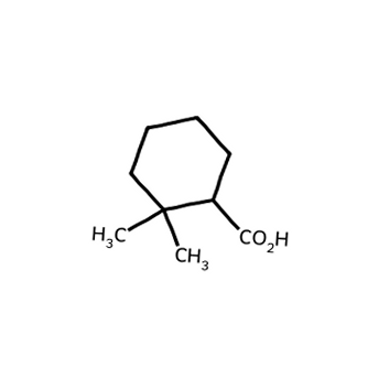 CC1(C)CCCCC1C(=O)O